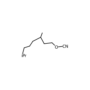 CC(C)CCCC(C)CCOC#N